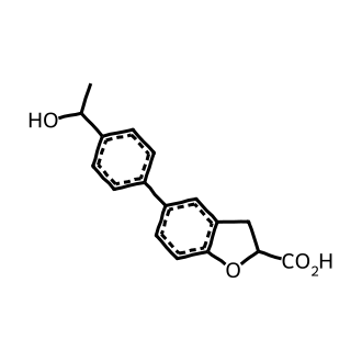 CC(O)c1ccc(-c2ccc3c(c2)CC(C(=O)O)O3)cc1